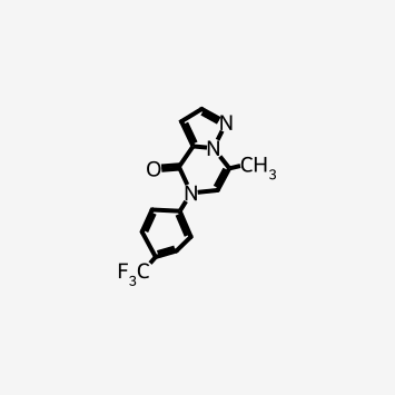 Cc1cn(-c2ccc(C(F)(F)F)cc2)c(=O)c2ccnn12